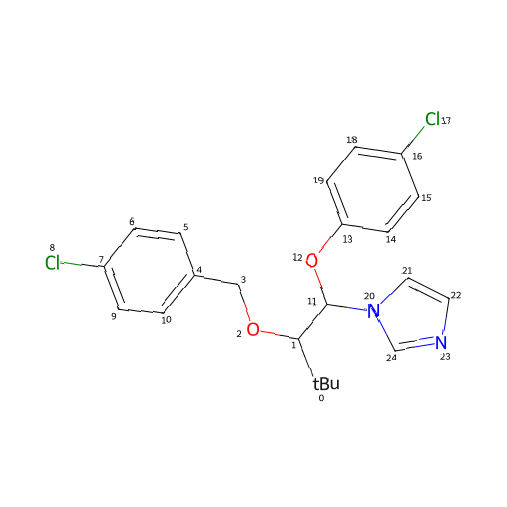 CC(C)(C)C(OCc1ccc(Cl)cc1)C(Oc1ccc(Cl)cc1)n1ccnc1